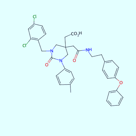 Cc1ccc(N2CC(CC(=O)O)(CC(=O)NCCc3ccc(Oc4ccccc4)cc3)CN(Cc3ccc(Cl)cc3Cl)C2=O)cc1